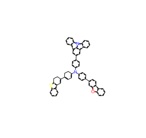 C1=C(C2=Cc3c(sc4ccccc34)CC2)CCC(N(c2ccc(-c3ccc4c(c3)oc3ccccc34)cc2)c2ccc(-c3cc4c5ccccc5n5c6ccccc6c(c3)c45)cc2)=C1